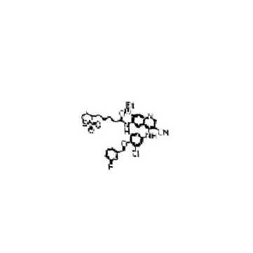 CCOc1cc2ncc(C#N)c(Nc3ccc(OCc4cccc(F)c4)c(Cl)c3)c2cc1NC(=O)CCCCC1CCSS1(=O)=O